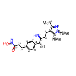 CC[C@H](C(=N)CCc1c(NC)nn(NC)c1NC)c1ccc(CCC(=O)NO)cc1